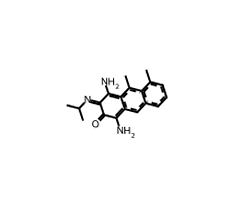 Cc1cccc2cc3c(c(C)c12)=C(N)C(=NC(C)C)C(=O)C=3N